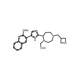 COc1nc2ccccc2cc1-c1cnc(C2CCN(CC3COC3)CCN2CC=O)[nH]1